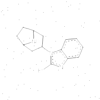 CCc1nc2ccccc2n1C1CC2CCC(C1)N2